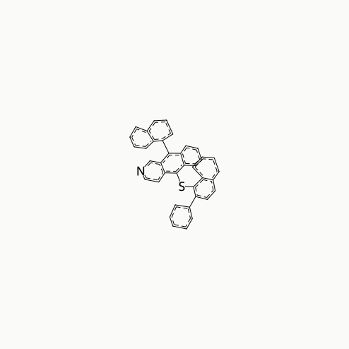 c1ccc(-c2ccc3ccccc3c2Sc2c3ccccc3c(-c3cccc4ccccc34)c3cnccc23)cc1